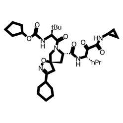 CCC[C@H](NC(=O)[C@@H]1C[C@]2(CC(C3CCCCC3)=NO2)CN1C(=O)[C@@H](NC(=O)OC1CCCC1)C(C)(C)C)C(=O)C(=O)NC1CC1